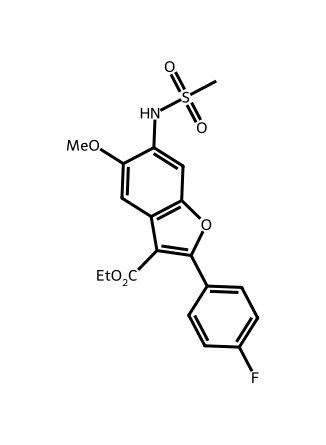 CCOC(=O)c1c(-c2ccc(F)cc2)oc2cc(NS(C)(=O)=O)c(OC)cc12